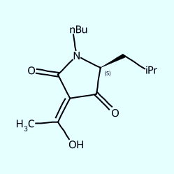 CCCCN1C(=O)C(=C(C)O)C(=O)[C@@H]1CC(C)C